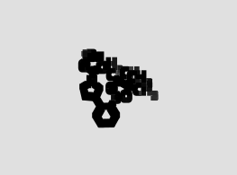 CC(C)(C)OC(=O)N1CC=C(c2ccccc2B2OC(C)(C)C(C)(C)O2)C1